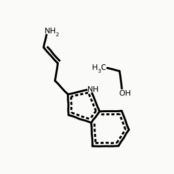 CCO.NC=CCc1cc2ccccc2[nH]1